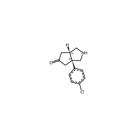 O=C1C[C@@H]2CNC[C@]2(c2ccc(Cl)cc2)C1